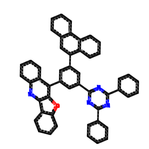 c1ccc(-c2nc(-c3ccccc3)nc(-c3cc(-c4cc5ccccc5c5ccccc45)cc(-c4c5ccccc5nc5c4oc4ccccc45)c3)n2)cc1